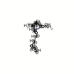 CCn1nc(C)cc1C(=O)Nc1nc2cc(C(=O)NCCCNC(=O)COc3cccc4c3C(=O)N(C3CCC(=O)NC3=O)C4=O)ccc2n1C/C=C/Cn1c(NC(=O)c2cc(C)nn2CC)nc2cc(C(N)O)ccc21